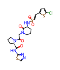 O=C(Nc1nncs1)[C@H]1CCCN1C(=O)CN1CCC[C@H](NS(=O)(=O)/C=C/c2ccc(Cl)s2)C1=O